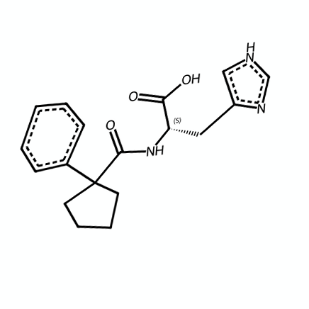 O=C(O)[C@H](Cc1c[nH]cn1)NC(=O)C1(c2ccccc2)CCCC1